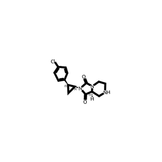 O=C1[C@@H]2CNCCN2C(=O)N1[C@@H]1C[C@H]1c1ccc(Cl)cc1